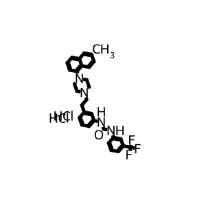 Cc1ccc2c(N3CCN(CCc4cccc(NC(=O)Nc5cccc(C(F)(F)F)c5)c4)CC3)cccc2c1.Cl.Cl